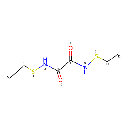 CCSNC(=O)C(=O)NSCC